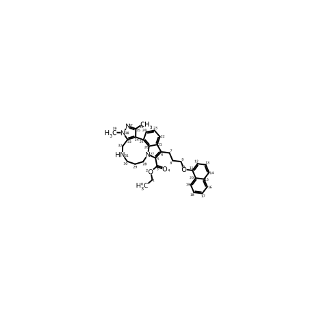 CCOC(=O)c1c(CCCOc2cccc3ccccc23)c2cccc3c2n1CCCNCc1c-3c(C)nn1C